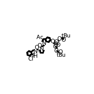 CC(=O)c1cn(CC(=O)N2CCC[C@H]2C(=O)NCc2cccc(Cl)c2F)c2cc(OCP(=O)(OCOC(=O)C(C)(C)C)OCOC(=O)C(C)(C)C)ccc12